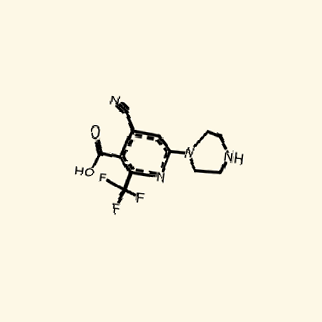 N#Cc1cc(N2CCNCC2)nc(C(F)(F)F)c1C(=O)O